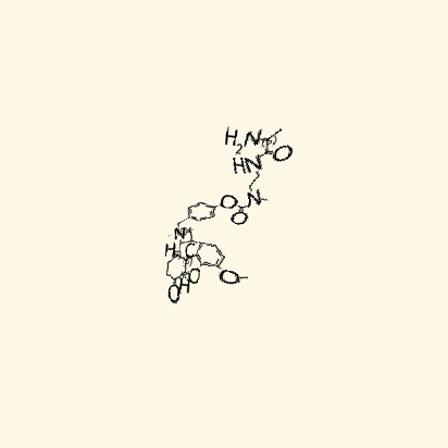 COc1ccc2c3c1O[C@H]1C(=O)CC[C@H]4C5C2(C[C@]314)C[N@+]5(C)Cc1ccc(OC(=O)N(C)CCNC(=O)[C@H](C)N)cc1